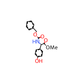 COC(=O)[C@H](NC(=O)OCc1ccccc1)c1ccc(O)cc1